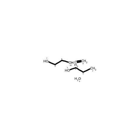 C=C.CCCO.O.OCCO